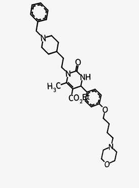 CCOC(=O)C1=C(C)N(CCC2CCN(Cc3ccccc3)CC2)C(=O)NC1c1ccc(OCCCCN2CCOCC2)cc1